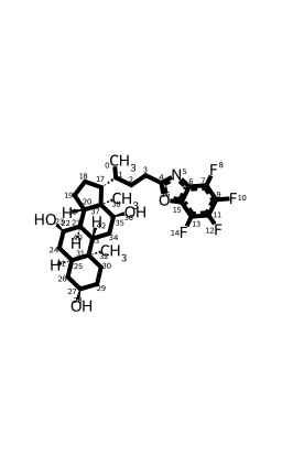 CC(CCc1nc2c(F)c(F)c(F)c(F)c2o1)[C@H]1CC[C@H]2[C@@H]3[C@H](O)C[C@@H]4C[C@H](O)CC[C@]4(C)[C@H]3C[C@H](O)[C@]12C